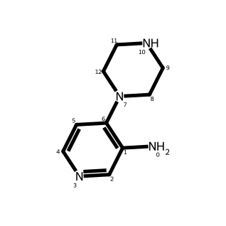 Nc1cnccc1N1CCNCC1